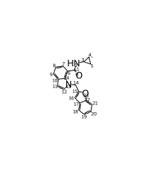 O=C(NC1[CH]C1)c1cccc2ccn(Cc3cc4ccccc4o3)c12